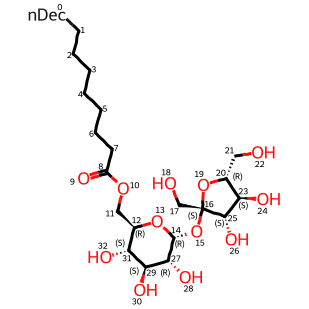 CCCCCCCCCCCCCCCCCC(=O)OC[C@H]1O[C@H](O[C@]2(CO)O[C@H](CO)[C@@H](O)[C@@H]2O)[C@H](O)[C@@H](O)[C@@H]1O